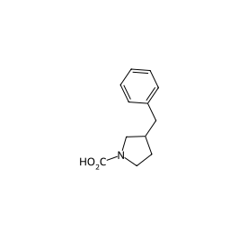 O=C(O)N1CCC(Cc2ccccc2)C1